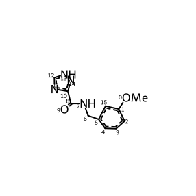 COc1cccc(CNC(=O)c2nc[nH]n2)c1